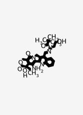 CC[C@@]1(O)C(=O)OCc2c1c(N)c1n(c2=O)Cc2c-1nc1ccccc1c2/C=N/N(CCO)C(=O)C(C)(C)C